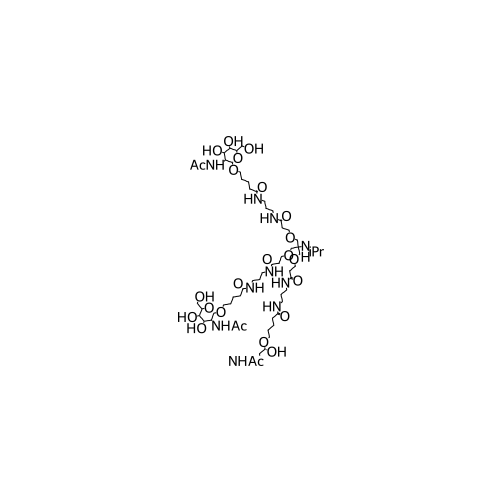 CC(=O)NC[C@@H](O)OCCCCC(=O)NCCCNC(=O)CCOCC(COCCC(=O)NCCCNC(=O)CCCCOC1OC(CO)C(O)C(O)C1NC(C)=O)(COCCC(=O)NCCCNC(=O)CCCCOC1OC(CO)C(O)C(O)C1NC(C)=O)NC(C)C